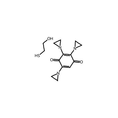 O=C1C=C(N2CC2)C(=O)C(N2CC2)=C1N1CC1.OCCS